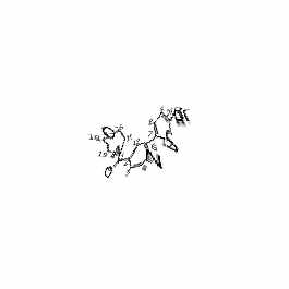 O=C(c1ccnc(-c2ccc(Br)s2)c1)N1CCOCC1